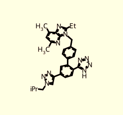 CCc1nc2c(C)cc(C)nc2n1Cc1ccc(-c2cc(-c3cn(CC(C)C)nn3)ccc2-c2nnn[nH]2)cc1